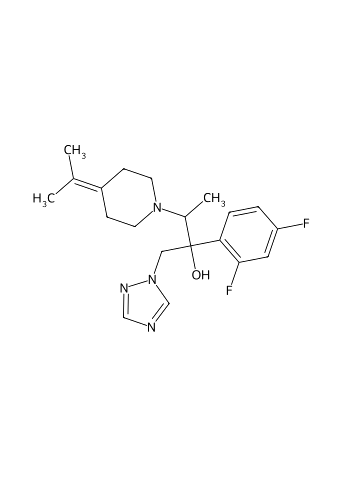 CC(C)=C1CCN(C(C)C(O)(Cn2cncn2)c2ccc(F)cc2F)CC1